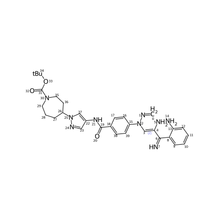 C=NN(/C=C(\N)C(=N)c1ccccc1N)c1ccc(C(=O)Nc2cnn(C3CCCN(C(=O)OC(C)(C)C)CC3)c2)cc1